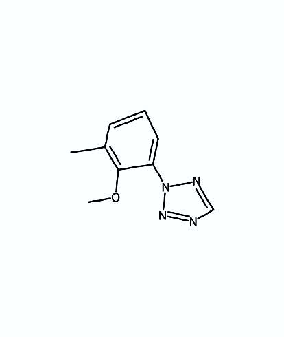 COc1c(C)cccc1-n1ncnn1